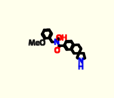 COc1ccccc1CN(O)C(=O)c1ccc2c(c1)CC1(CCNC1)CC2